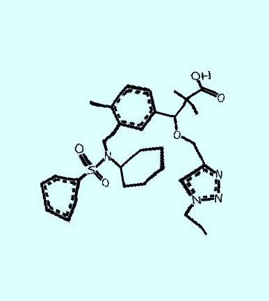 CCn1cc(COC(c2ccc(C)c(CN(C3CCCCC3)S(=O)(=O)c3ccccc3)c2)C(C)(C)C(=O)O)nn1